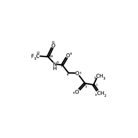 C=C(C)C(=O)OCC(=O)NC(=O)C(F)(F)F